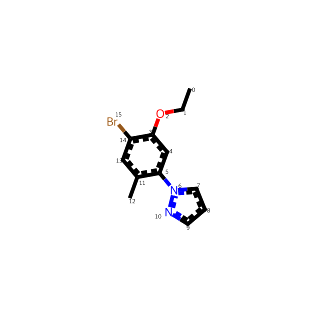 CCOc1cc(-n2cccn2)c(C)cc1Br